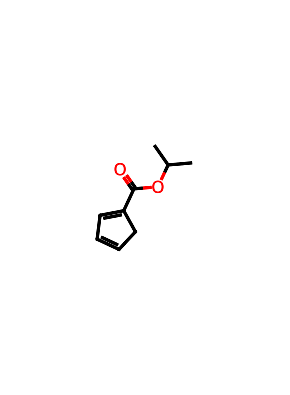 CC(C)OC(=O)C1=CC=CC1